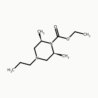 CCCN1C[C@@H](C)N(C(=O)OCC)[C@@H](C)C1